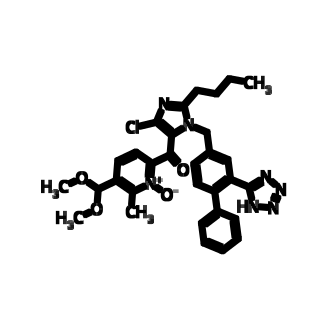 CCCCc1nc(Cl)c(C(=O)c2ccc(C(OC)OC)c(C)[n+]2[O-])n1Cc1ccc(-c2ccccc2)c(-c2nnn[nH]2)c1